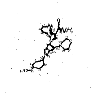 NC(=O)c1cn(-c2cc3cn(C4CCC(CO)CC4)nc3cc2N2CCOCC2)[n+]2cccnc12